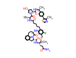 Cc1ncsc1-c1ccc([C@H](C)NC(=O)[C@@H]2C[C@@H](O)CN2C(=O)[C@@H](NC(=O)CCCCc2ccc(CO[C@H](C)[C@H](CCC(N)=O)NC(=O)[C@@H]3Cc4cccc5c4N3C(=O)[C@@H](N)CC5)c(F)c2)C(C)(C)C)cc1